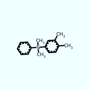 Cc1ccc([Si](C)(C)c2ccccc2)cc1C